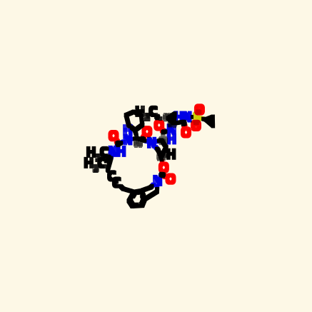 C=C[C@@H]1C[C@]1(NC(=O)[C@@H]1C[C@@H]2CN1C(=O)[C@H](C1CCCCC1)NC(=O)NC(C)(C)CCCCc1cccc3c1CN(C3)C(=O)O2)C(=O)NS(=O)(=O)C1CC1